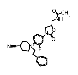 CC(=O)NC[C@H]1CN(c2ccc([N+]3(CCc4ccccc4)CCC(C#N)CC3)c(F)c2)C(=O)O1